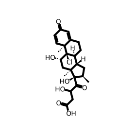 C[C@@H]1C[C@H]2[C@@H]3CCC4=CC(=O)C=C[C@]4(C)[C@@]3(Cl)[C@@H](O)C[C@]2(C)[C@@]1(O)C(=O)C(O)CC(=O)O